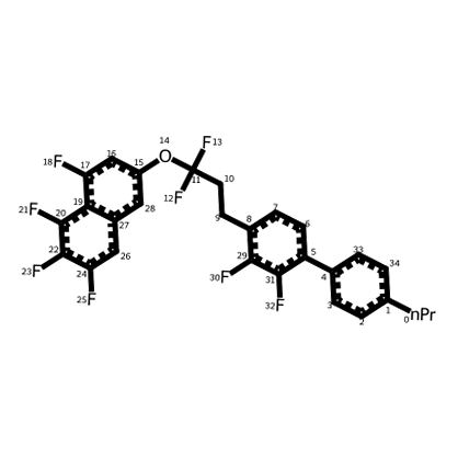 CCCc1ccc(-c2ccc(CCC(F)(F)Oc3cc(F)c4c(F)c(F)c(F)cc4c3)c(F)c2F)cc1